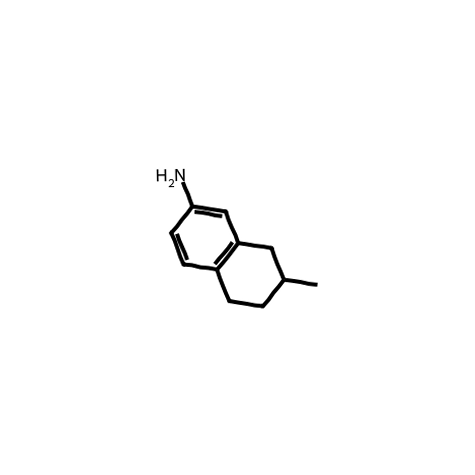 CC1CCc2ccc(N)cc2C1